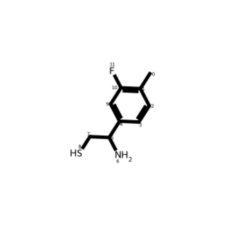 Cc1ccc(C(N)CS)cc1F